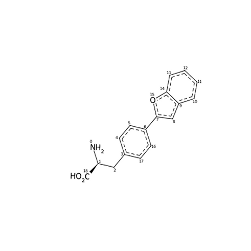 N[C@@H](Cc1ccc(-c2cc3ccccc3o2)cc1)C(=O)O